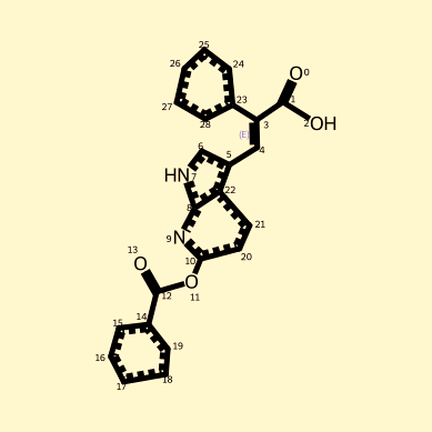 O=C(O)/C(=C/c1c[nH]c2nc(OC(=O)c3ccccc3)ccc12)c1ccccc1